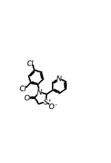 O=C1C[S+]([O-])C(c2cccnc2)N1c1ccc(Cl)cc1Cl